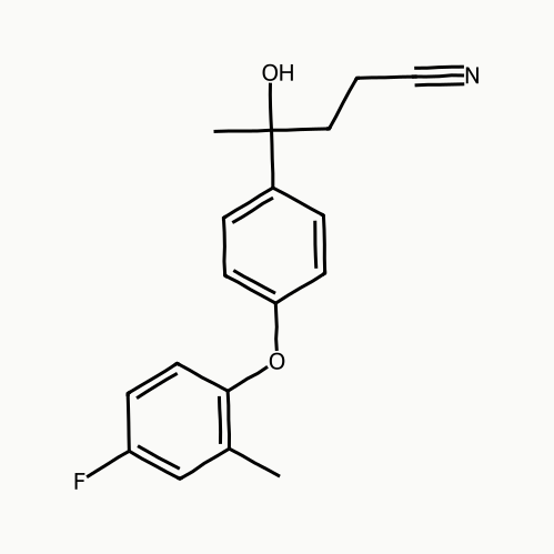 Cc1cc(F)ccc1Oc1ccc(C(C)(O)CCC#N)cc1